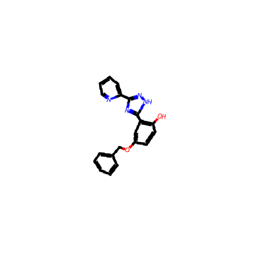 Oc1ccc(OCc2ccccc2)cc1-c1nc(-c2ccccn2)n[nH]1